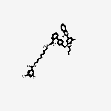 CCCc1nc2c(C)cc(-c3nc4ccccc4n3C)cc2n1Cc1ccc(-c2ccccc2C(=O)NCCCCCCCCNC(=O)c2cc(Cl)cc(Cl)c2)cc1